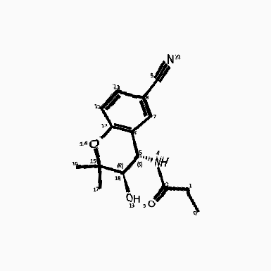 CCC(=O)N[C@H]1c2cc(C#N)ccc2OC(C)(C)[C@@H]1O